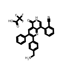 N#Cc1ccccc1-c1c[nH]c(=O)c2cc(-c3ccccc3)c(-c3ccc(CN)cc3)nc12.O=C(O)C(F)(F)F